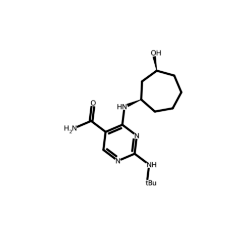 CC(C)(C)Nc1ncc(C(N)=O)c(N[C@@H]2CCCC[C@H](O)C2)n1